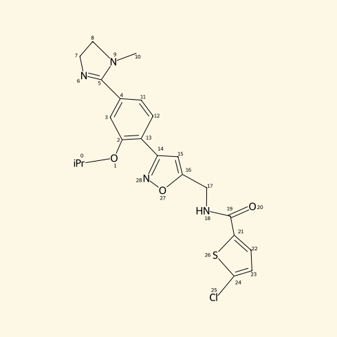 CC(C)Oc1cc(C2=NCCN2C)ccc1-c1cc(CNC(=O)c2ccc(Cl)s2)on1